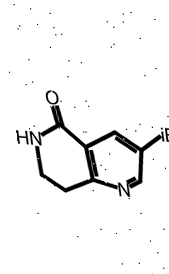 CCC(C)c1cnc2c(c1)C(=O)NCC2